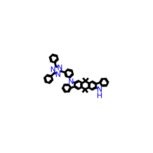 CC1(C)c2cc3[nH]c4ccccc4c3cc2C(C)(C)c2cc3c(cc21)c1ccccc1n3-c1cccc(-c2nc(-c3ccccc3)nc(-c3ccccc3)n2)c1